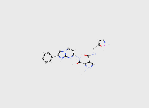 Cn1ncc(C(=O)NCc2ccno2)c1C(=O)Nc1ccn2cc(-c3ccccc3)nc2n1